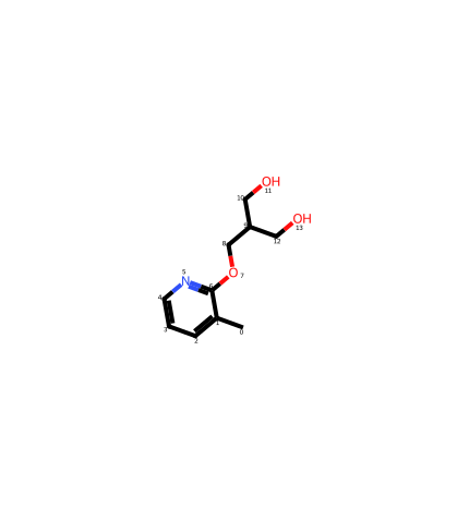 Cc1cccnc1OCC(CO)CO